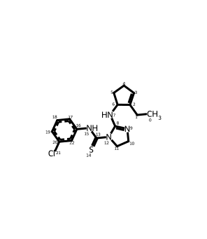 CCC1=CCCC1NC1=NCCN1C(=S)Nc1cccc(Cl)c1